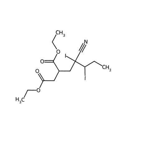 CCOC(=O)CC(CC(I)(C#N)C(I)CC)C(=O)OCC